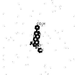 C=C(C)[C@@H]1CC[C@]2(C(=O)N(C)c3cccnc3)CC[C@]3(C)[C@H](CC[C@@H]4[C@@]5(C)CC=C(c6ccc(C(=O)O)cc6)C(C)(C)[C@@H]5CC[C@]43C)[C@@H]12